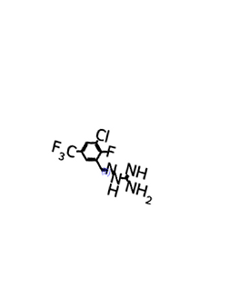 N=C(N)N/N=C/c1cc(C(F)(F)F)cc(Cl)c1F